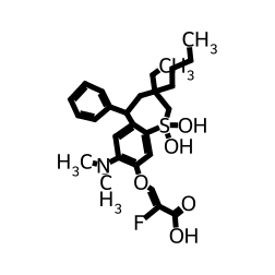 CCCCC1(CC)CC(c2ccccc2)c2cc(N(C)C)c(OC=C(F)C(=O)O)cc2S(O)(O)C1